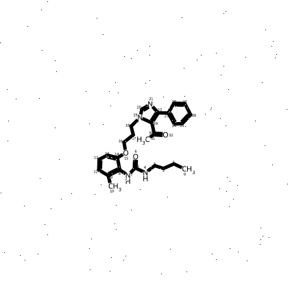 CCCCNC(=O)Nc1c(C)cccc1OCCCn1cnc(-c2ccccc2)c1C(C)=O